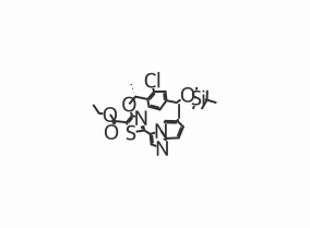 CCOC(=O)c1sc(-c2cnc3ccc(I)cn23)nc1O[C@H](C)c1ccc(CO[Si](C)(C)C(C)(C)C)cc1Cl